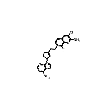 Nc1nc2c(F)c(CCC3=CC(n4ccc5c(N)ncnc54)CC3)ccc2cc1Cl